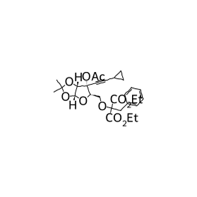 CCOC(=O)C(Cc1ccccc1)(OC[C@H]1O[C@@H]2OC(C)(C)O[C@@H]2[C@]1(C#CC1CC1)OC(C)=O)C(=O)OCC